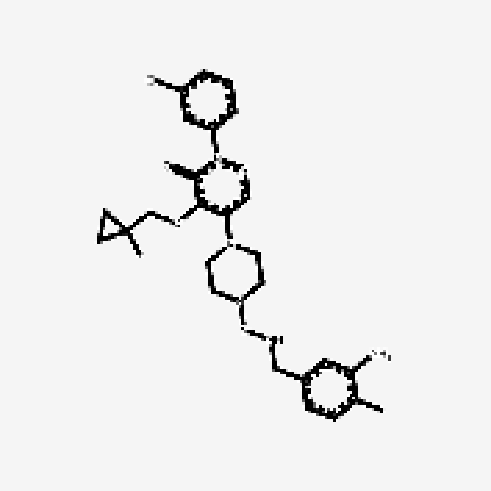 Cc1ccc(CNSN2CCN(c3cnn(-c4cccc(Cl)c4)c(=O)c3OCC3(C)CC3)CC2)cc1N